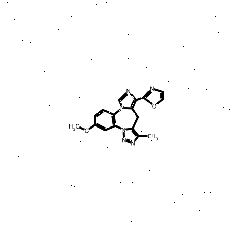 COc1ccc2c(c1)-n1nnc(C)c1Cc1c(-c3ncco3)ncn1-2